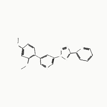 COc1ccc(-c2cncc(-n3nnc(-c4ccccn4)n3)c2)c(OC)c1